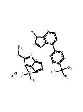 CC(C)(C)c1ccc(-c2cccc3c2C=C[CH]3[Zr+2])cc1.CCC1=PC2=CC=C3C2=C1[Si]3(C)C.[Cl-].[Cl-]